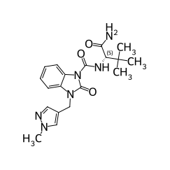 Cn1cc(Cn2c(=O)n(C(=O)N[C@H](C(N)=O)C(C)(C)C)c3ccccc32)cn1